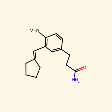 COc1ccc(CCC(N)=O)cc1C=C1CCCC1